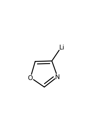 [Li][c]1cocn1